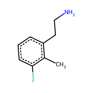 Cc1c(F)cccc1CCN